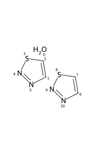 O.c1csnn1.c1csnn1